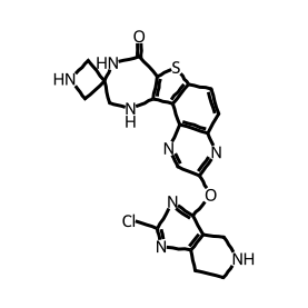 O=C1NC2(CNC2)CNc2c1sc1ccc3nc(Oc4nc(Cl)nc5c4CNCC5)cnc3c21